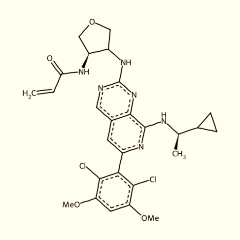 C=CC(=O)N[C@H]1COCC1Nc1ncc2cc(-c3c(Cl)c(OC)cc(OC)c3Cl)nc(N[C@H](C)C3CC3)c2n1